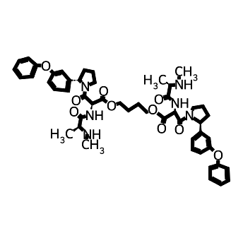 CN[C@@H](C)C(=O)N[C@@H](C(=O)OCCCCOC(=O)[C@H](NC(=O)[C@H](C)NC)C(=O)N1CCC[C@H]1c1cccc(Oc2ccccc2)c1)C(=O)N1CCC[C@H]1c1cccc(Oc2ccccc2)c1